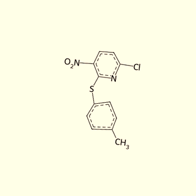 Cc1ccc(Sc2nc(Cl)ccc2[N+](=O)[O-])cc1